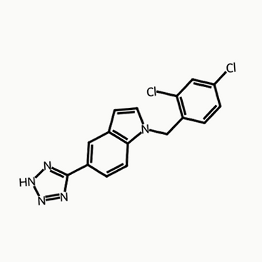 Clc1ccc(Cn2ccc3cc(-c4nn[nH]n4)ccc32)c(Cl)c1